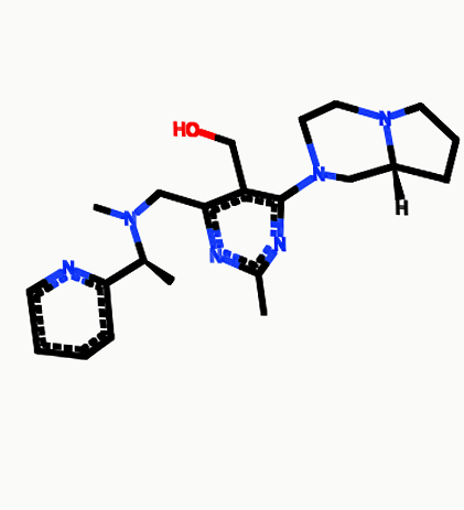 Cc1nc(CN(C)[C@@H](C)c2ccccn2)c(CO)c(N2CCN3CCC[C@@H]3C2)n1